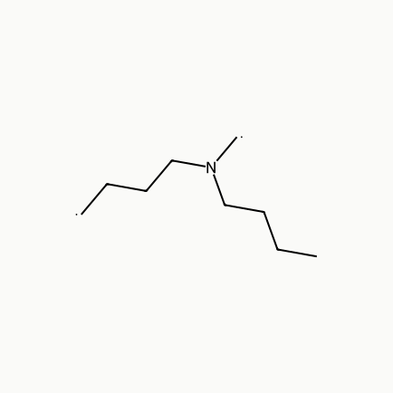 [CH2]CCCN([CH2])CCCC